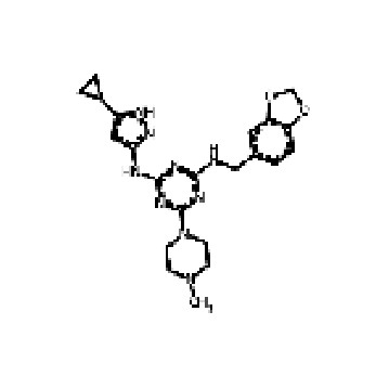 CN1CCN(c2nc(NCc3ccc4c(c3)OCO4)nc(Nc3cc(C4CC4)[nH]n3)n2)CC1